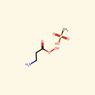 CS(=O)(=O)O.NCCC(=O)OO